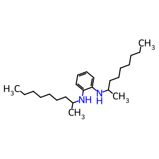 CCCCCCCC(C)Nc1ccccc1NC(C)CCCCCCC